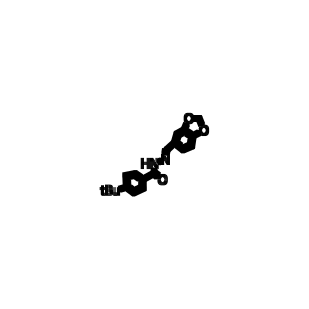 CC(C)(C)c1ccc(C(=O)N/N=C/c2ccc3c(c2)OCO3)cc1